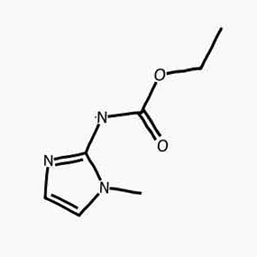 CCOC(=O)[N]c1nccn1C